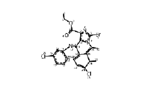 CCOC(=O)c1nc(Br)n2c1C(Nc1cc(Cl)ccc1C)C1=CC=C(Cl)C(C)C1=C2C